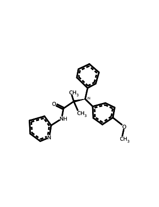 COc1ccc([C@H](c2ccccc2)C(C)(C)C(=O)Nc2ccccn2)cc1